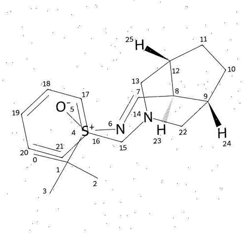 CC(C)(C)[S+]([O-])/N=C/[C@@H]1[C@@H]2CC[C@H]1CN(Cc1ccccc1)C2